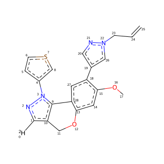 [2H]c1nn(-c2ccsc2)c2c1COc1cc(OC)c(-c3cnn(CC=C)c3)cc1-2